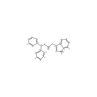 c1ccc(C(CNCc2c[nH]c3ncccc23)c2ccccc2)cc1